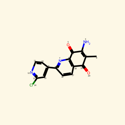 CC1=C(N)C(=O)c2nc(-c3ccnc(Cl)c3)ccc2C1=O